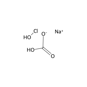 O=C([O-])O.OCl.[Na+]